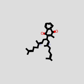 CC(C)=CCC/C(C)=C/CC(/C=C(\C)CCC=C(C)C)C1=C(C)C(=O)c2ccccc2C1=O